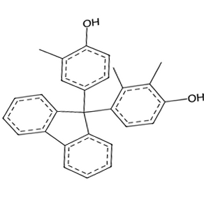 Cc1cc(C2(c3ccc(O)c(C)c3C)c3ccccc3-c3ccccc32)ccc1O